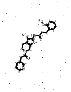 CCOc1ccccc1CCC(=O)Nc1sc2c(c1C#N)CCN(C(=O)Cc1cccnc1)C2